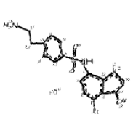 CCc1ccc(NS(=O)(=O)c2ccc(CCN)cc2)c2[nH]cc(C#N)c12.Cl